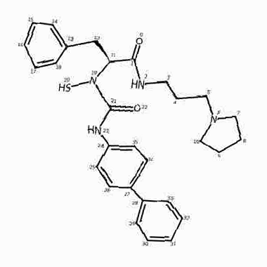 O=C(NCCCN1CCCC1)[C@H](Cc1ccccc1)N(S)C(=O)Nc1ccc(-c2ccccc2)cc1